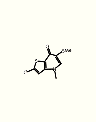 CSc1cn(C)c2cc(Cl)sc2c1=O